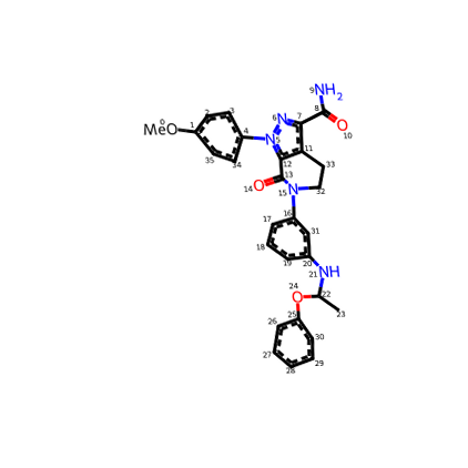 COc1ccc(-n2nc(C(N)=O)c3c2C(=O)N(c2cccc(NC(C)Oc4ccccc4)c2)CC3)cc1